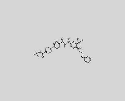 CC(C)(C)OC(=O)N1CCN(c2ccc(C(=O)N[S+]([O-])c3ccc(NCCSc4ccccc4)c(C(F)(F)F)c3)nn2)CC1